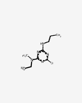 CCCNc1nc(Cl)nc(N(C)CO)n1